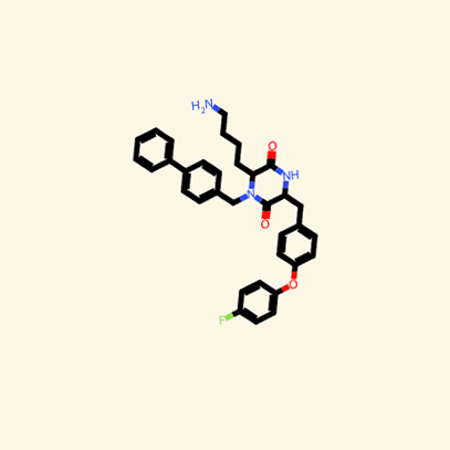 NCCCCC1C(=O)NC(Cc2ccc(Oc3ccc(F)cc3)cc2)C(=O)N1Cc1ccc(-c2ccccc2)cc1